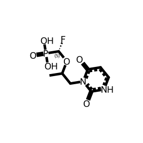 CC(Cn1c(=O)cc[nH]c1=O)O[C@@H](F)P(=O)(O)O